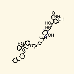 C\C=C/C(CNC[C@H](O)c1ccc(O)c2[nH]c(=O)ccc12)=C(O)\C=N\C(=O)C[C@H]1C[C@H](C(=O)COc2cccc([C@](O)(C(=O)OCC3CCN(Cc4ccccc4)CC3)c3ccccc3)c2)C1